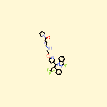 O=C(/C=C/CNCCOc1ccc(/C(=C(\CC(F)(F)F)c2ccccc2)n2nc(F)c3ccccc32)cn1)N1CCCC1